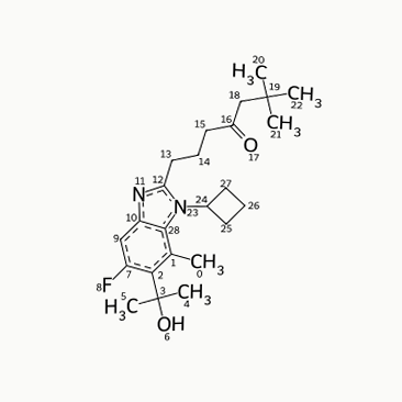 Cc1c(C(C)(C)O)c(F)cc2nc(CCCC(=O)CC(C)(C)C)n(C3CCC3)c12